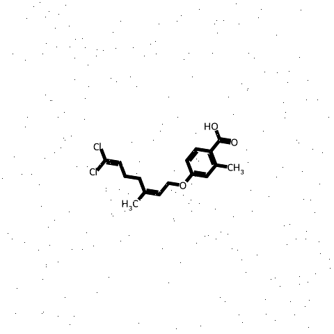 CC(=CCOc1ccc(C(=O)O)c(C)c1)CCC=C(Cl)Cl